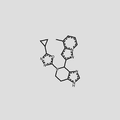 Cc1cccn2nc(C3c4nc[nH]c4CCN3c3nnc(C4CC4)o3)cc12